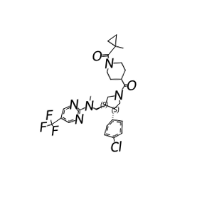 CN(C[C@H]1CN(C(=O)C2CCN(C(=O)C3(C)CC3)CC2)C[C@@H]1c1ccc(Cl)cc1)c1ncc(C(F)(F)F)cn1